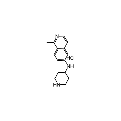 Cc1nccc2cc(NC3CCNCC3)ccc12.Cl